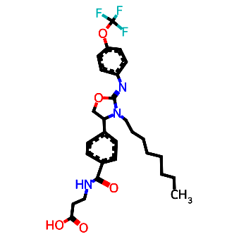 CCCCCCCCN1C(=Nc2ccc(OC(F)(F)F)cc2)OCC1c1ccc(C(=O)NCCC(=O)O)cc1